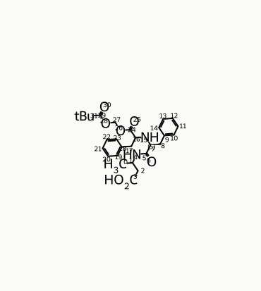 CC(CC(=O)O)NC(=O)[C@H](Cc1ccccc1)NC(Cc1ccccc1)C(=O)OCOC(=O)C(C)(C)C